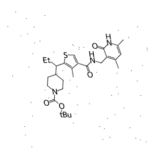 CCC(c1scc(C(=O)NCc2c(C)cc(C)[nH]c2=O)c1C)C1CCN(C(=O)OC(C)(C)C)CC1